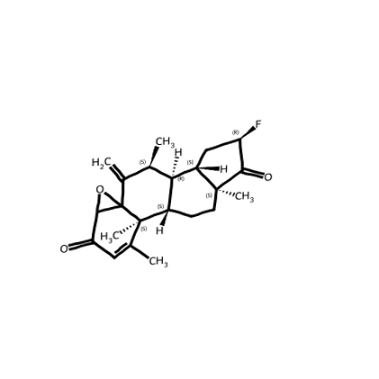 C=C1[C@@H](C)[C@H]2[C@@H]3C[C@@H](F)C(=O)[C@@]3(C)CC[C@@H]2[C@@]2(C)C(C)=CC(=O)C3OC132